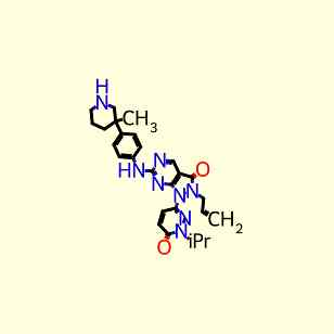 C=CCn1c(=O)c2cnc(Nc3ccc(C4(C)CCCNC4)cc3)nc2n1-c1ccc(=O)n(C(C)C)n1